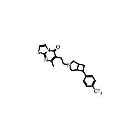 Cc1nc2sccn2c(=O)c1CCN1CC2CC(c3ccc(C(F)(F)F)cc3)C2C1